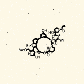 C=CC(=O)N1CCC(O)(C(=O)N(C)[C@H](C(=O)N[C@H]2Cc3cc(O)cc(c3)-c3ccc4c(c3)c(c(-c3cc(C#N)cnc3COC)n4CC)CC(C)(C)COC(=O)[C@@]3(O)CCCN(N3)C2=O)C(C)C)C1